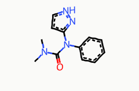 CN(C)C(=O)N(c1ccccc1)c1cc[nH]n1